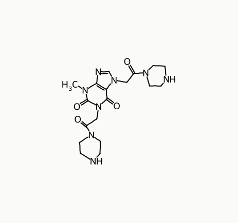 Cn1c(=O)n(CC(=O)N2CCNCC2)c(=O)c2c1ncn2CC(=O)N1CCNCC1